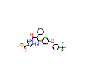 COC(=O)c1cc2[nH]c(-c3ccc(Oc4cccc(C(F)(F)F)c4)cc3)c(C3CCCCC3)c(=O)n2n1